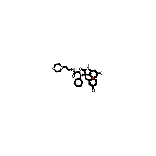 O=C(CN(C1CCCCC1)C1(Cc2cccc(Cl)c2)C(=O)Nc2cc(Cl)ccc21)NCCN1CCOCC1